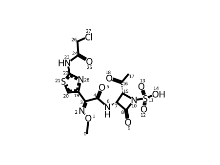 CO/N=C(\C(=O)N[C@H]1C(=O)N(S(=O)(=O)O)[C@H]1C(C)=O)c1csc(NC(=O)CCl)n1